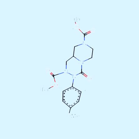 COc1ccc(N2C(=O)N3CCN(C(=O)OC(C)(C)C)CC3CN2C(=O)OC(C)(C)C)cc1